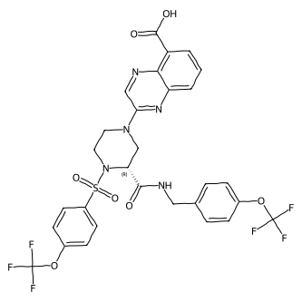 O=C(O)c1cccc2nc(N3CCN(S(=O)(=O)c4ccc(OC(F)(F)F)cc4)[C@@H](C(=O)NCc4ccc(OC(F)(F)F)cc4)C3)cnc12